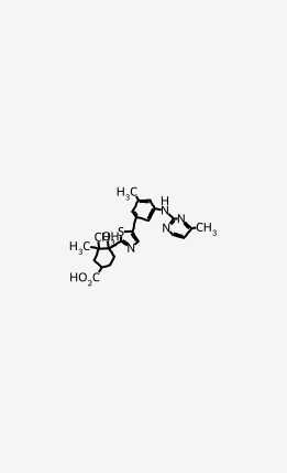 Cc1cc(Nc2nccc(C)n2)cc(-c2cnc(C3(O)CCC(C(=O)O)CC3(C)C)s2)c1